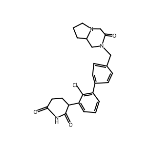 O=C1CCC(c2cccc(-c3ccc(CN4CC5CCCN5CC4=O)cc3)c2Cl)C(=O)N1